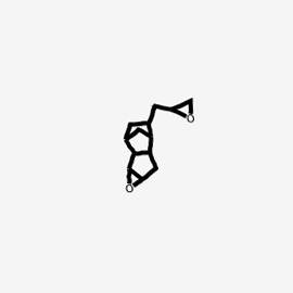 [CH](C1CO1)C1CC2CC1C1CC3OC3C21